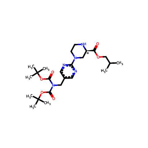 CC(C)COC(=O)[C@H]1CN(c2ncc(CN(C(=O)OC(C)(C)C)C(=O)OC(C)(C)C)cn2)CCN1